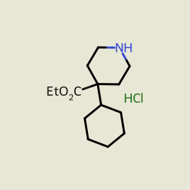 CCOC(=O)C1(C2CCCCC2)CCNCC1.Cl